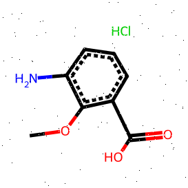 COc1c(N)cccc1C(=O)O.Cl